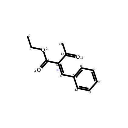 CCOC(=O)/C(=C/c1ccccc1)C(C)=O